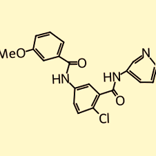 COc1cccc(C(=O)Nc2ccc(Cl)c(C(=O)Nc3cccnc3)c2)c1